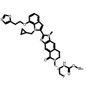 Cn1c(-c2cc3cccc(OCCc4cnco4)c3n2CC2CC2)nc2cc3c(cc21)CCN(C[C@@H](CF)NC(=O)OC(C)(C)C)C3=O